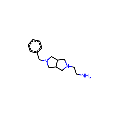 NCCN1CC2CN(Cc3ccccc3)CC2C1